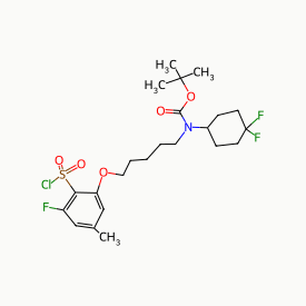 Cc1cc(F)c(S(=O)(=O)Cl)c(OCCCCCN(C(=O)OC(C)(C)C)C2CCC(F)(F)CC2)c1